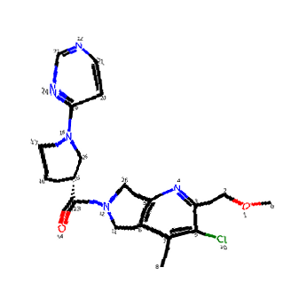 COCc1nc2c(c(C)c1Cl)CN(C(=O)[C@@H]1CCN(c3ccncn3)C1)C2